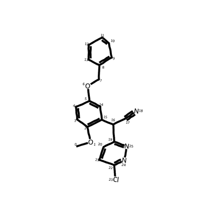 COc1ccc(OCc2ccccc2)cc1C(C#N)c1ccc(Cl)nn1